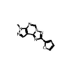 Cn1ncc2c1ncn1nc(-c3ccco3)nc21